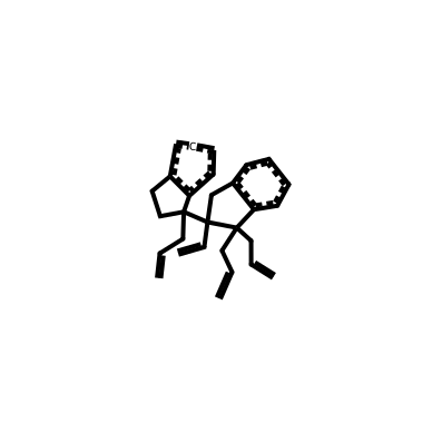 C=CCC1(CC=C)c2ccccc2CC1(C=C)C1(CC=C)CCc2ccccc21